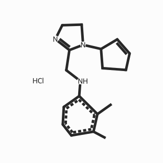 Cc1cccc(NCC2=NCCN2C2C=CCC2)c1C.Cl